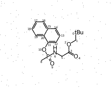 CC(C)(C)COC(=O)CNP(C)(=O)Oc1cccc2ccccc12